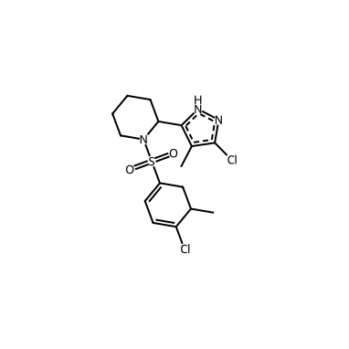 Cc1c(Cl)n[nH]c1C1CCCCN1S(=O)(=O)C1=CC=C(Cl)C(C)C1